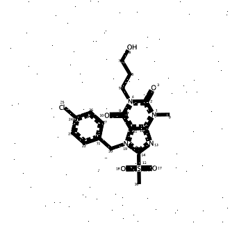 Cn1c(=O)n(CCCO)c(=O)c2c1nc(S(C)(=O)=O)n2Cc1ccc(Cl)cc1